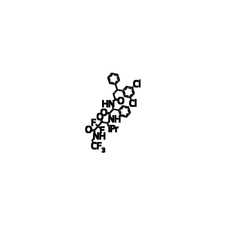 CC(C)C(NC(=O)C(NC(=O)CC(c1ccccc1)c1cc(Cl)cc(Cl)c1)c1ccccc1)C(=O)C(F)(F)C(=O)NCC(F)(F)F